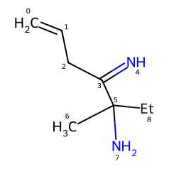 C=CCC(=N)C(C)(N)CC